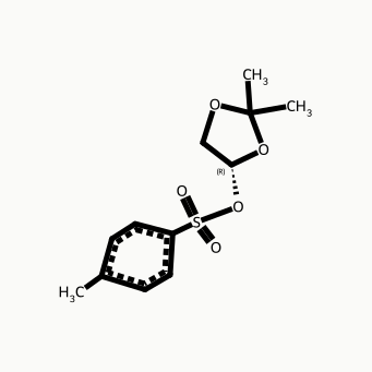 Cc1ccc(S(=O)(=O)O[C@@H]2COC(C)(C)O2)cc1